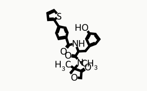 CN(C(=O)C(Cc1cccc(O)c1)NC(=O)c1ccc(-c2cccs2)cc1)C1(C)COCC1=O